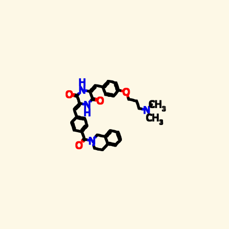 CN(C)CCCOc1ccc(C=c2[nH]c(=O)c(=Cc3ccc(C(=O)N4CCc5ccccc5C4)cc3)[nH]c2=O)cc1